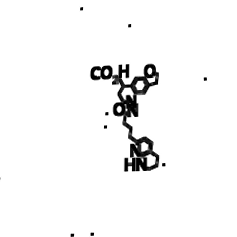 O=C(O)CC(Cc1nnc(CCCc2ccc3c(n2)NCCC3)o1)c1ccc2c(c1)OCC2